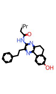 CC(C)CC(=O)Nc1nc2c(nc1CCc1ccccc1)-c1ccc(O)cc1CC2